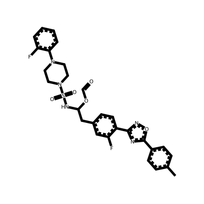 Cc1ccc(-c2nc(-c3ccc(CC(NS(=O)(=O)N4CCN(c5ccccc5F)CC4)OC=O)cc3F)no2)cc1